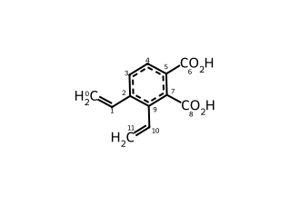 C=Cc1ccc(C(=O)O)c(C(=O)O)c1C=C